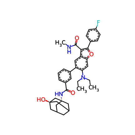 CCN(CC)c1cc2oc(-c3ccc(F)cc3)c(C(=O)NC)c2cc1-c1cccc(C(=O)N[C@]23CC4CC(C[C@](O)(C4)C2)C3)c1